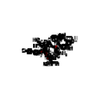 CN[C@H](CC(C)C)C(=O)N[C@H]1C(=O)N[C@@H](CC(N)=O)C(=O)N[C@H]2C(=O)NC3C(=O)N[C@H](C(=O)N[C@H](C(=O)O)C4=CC(O)CC(O)=C4C4CC3=CC=C4O)[C@H](O)C3=CC=C(Oc4cc2cc(c4O[C@H]2OC(CO)C(O)[C@H](O)C2O[C@H]2CC(C)(NCc4ccc(-c5ccc(Cl)cc5)cc4)[C@H](O)C(C)O2)OC2=C(Cl)C=C(CC2)[C@H]1O)C(Cl)C3C